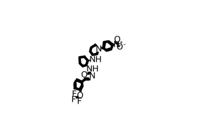 O=[N+]([O-])c1ccc(N2CCCC(N[C@@H]3CCCC[C@H]3Nc3ncc(-c4cccc(OC(F)(F)F)c4)o3)C2)cc1